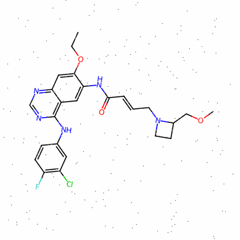 CCOc1cc2ncnc(Nc3ccc(F)c(Cl)c3)c2cc1NC(=O)/C=C/CN1CCC1COC